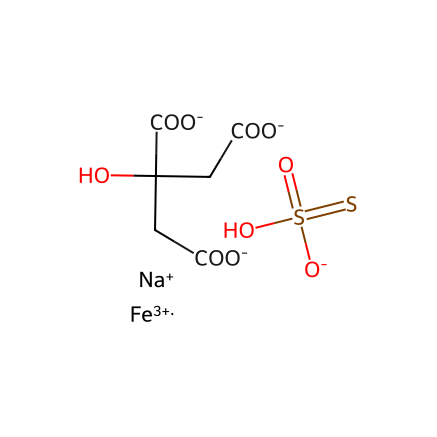 O=C([O-])CC(O)(CC(=O)[O-])C(=O)[O-].O=S([O-])(O)=S.[Fe+3].[Na+]